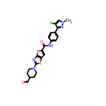 Cn1cc(F)c(-c2ccc(NC(=O)c3cc4sc(N5CCC(C=O)CC5)nc4s3)cc2)n1